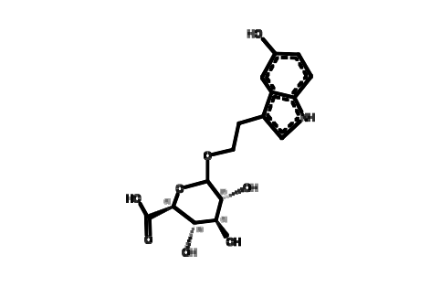 O=C(O)[C@H]1OC(OCCc2c[nH]c3ccc(O)cc23)[C@H](O)[C@@H](O)[C@@H]1O